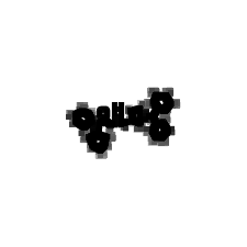 O=C(CNC[C@H]1CCN(C(c2ccccc2)c2ccccc2)C1)N(c1ccccc1)c1ccccc1